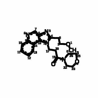 COCCc1nc2cnc3ccccc3c2n1CCC(=O)N1CCOCC1